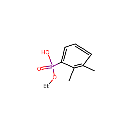 CCOP(=O)(O)c1cccc(C)c1C